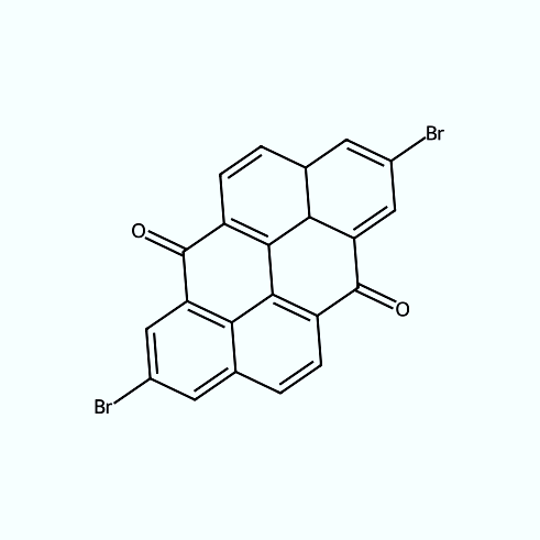 O=C1C2=CC(Br)=CC3C=CC4=C(c5c1ccc1cc(Br)cc(c51)C4=O)C23